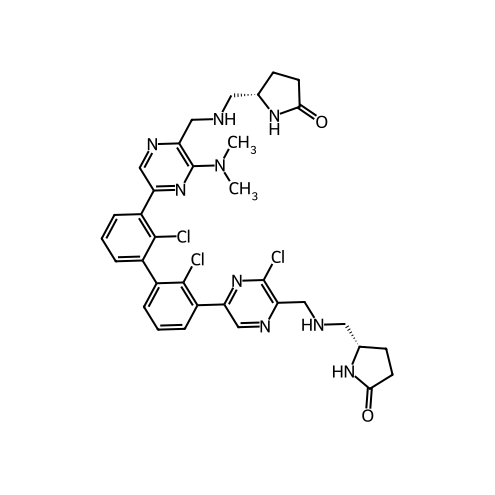 CN(C)c1nc(-c2cccc(-c3cccc(-c4cnc(CNC[C@@H]5CCC(=O)N5)c(Cl)n4)c3Cl)c2Cl)cnc1CNC[C@@H]1CCC(=O)N1